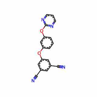 N#Cc1cc(C#N)cc(Oc2cccc(Oc3ncccn3)c2)c1